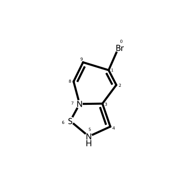 BrC1=CC2=CNSN2C=C1